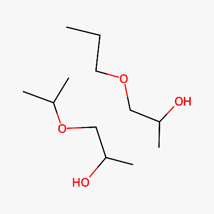 CC(O)COC(C)C.CCCOCC(C)O